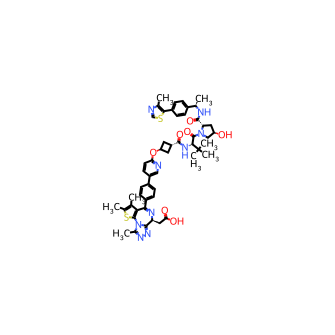 Cc1ncsc1-c1ccc([C@H](C)NC(=O)[C@@H]2C[C@@H](O)CN2C(=O)[C@@H](NC(=O)[C@H]2C[C@H](Oc3ccc(-c4ccc(C5=N[C@@H](CC(=O)O)c6nnc(C)n6-c6sc(C)c(C)c65)cc4)cn3)C2)C(C)(C)C)cc1